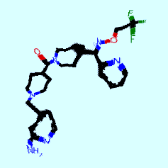 Nc1cc(CN2CCC(C(=O)N3CCC(/C(=N/OCC(F)(F)F)c4ccccn4)CC3)CC2)ccn1